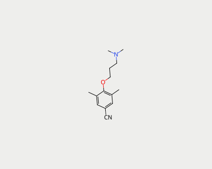 Cc1cc(C#N)cc(C)c1OCCCN(C)C